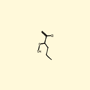 C=C(Cl)C(CCC)OO